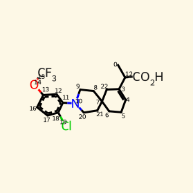 CC(C(=O)O)C1=CCCC2(CCN(c3cc(OC(F)(F)F)ccc3Cl)CC2)C1